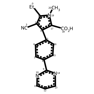 CCc1c(C#N)c(-c2ccc(-c3ncccn3)cc2)c(C(=O)O)n1C